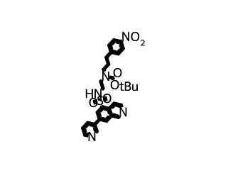 CC(C)(C)OC(=O)N(CCCc1ccc([N+](=O)[O-])cc1)CCNS(=O)(=O)c1cc(-c2cccnc2)cc2cnccc12